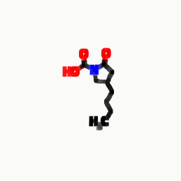 CCCCC1CC(=O)N(C(=O)O)C1